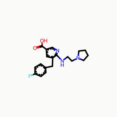 O=C(O)c1cnc(NCCN2CCCC2)c(Cc2ccc(F)cc2)c1